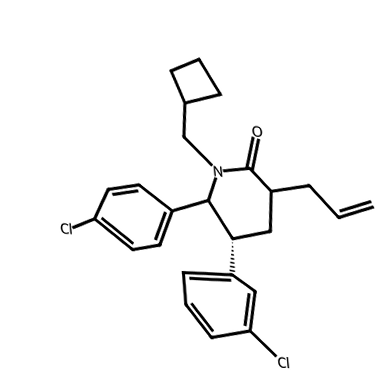 C=CCC1C[C@H](c2cccc(Cl)c2)C(c2ccc(Cl)cc2)N(CC2CCC2)C1=O